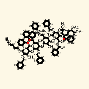 CC[C@@H](OC(C)=O)[C@@H](OC(C)=O)C1O[C@](C)(O[C@@H]2C(OC(=O)c3ccccc3)[C@H](O[C@@H]3C(CO[Si](c4ccccc4)(c4ccccc4)C(C)(C)C)O[C@@H](O[C@@H]4C(OCc5ccccc5)[C@H](O[C@@H]5C(COCc6ccccc6)O[C@@H](OCCCN=[N+]=[N-])C(OCc6ccccc6)[C@H]5C)OC(COCc5ccccc5)[C@@H]4C)C(C)[C@H]3C)OC(COC(=O)c3ccccc3)[C@@H]2OC(=O)c2ccccc2)C[C@@H](OC(C)=O)[C@H]1C